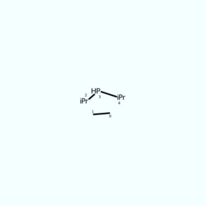 CC.CC(C)PC(C)C